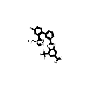 [2H]C(=O)c1cc(C(F)(F)F)c2oc(-c3cccc(-c4ccc(F)cc4-c4nncn4C)c3)nc2c1